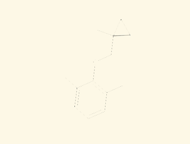 Cc1cccc(C)c1OCC1(C)CC1